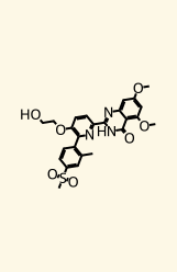 COc1cc(OC)c2c(=O)[nH]c(-c3ccc(OCCO)c(-c4ccc(S(C)(=O)=O)cc4C)n3)nc2c1